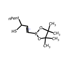 CCCCCC(S)/C=C/B1OC(C)(C)C(C)(C)O1